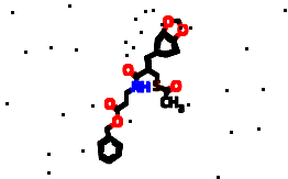 CC(=O)SC/C(=C\c1ccc2c(c1)OCO2)C(=O)NCCC(=O)OCc1ccccc1